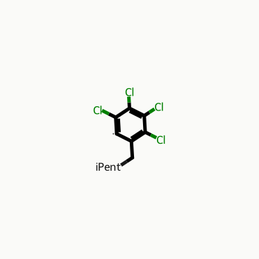 CCCC(C)Cc1[c]c(Cl)c(Cl)c(Cl)c1Cl